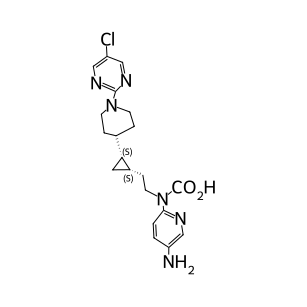 Nc1ccc(N(CC[C@@H]2C[C@@H]2C2CCN(c3ncc(Cl)cn3)CC2)C(=O)O)nc1